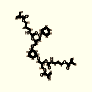 C=C(C)C(=O)OCCCNC(=O)OC(COC(=O)C(=C)C)COc1cccc(OCC(COc2ccccc2)OC(=O)NCCCOC(=O)C(=C)C)c1